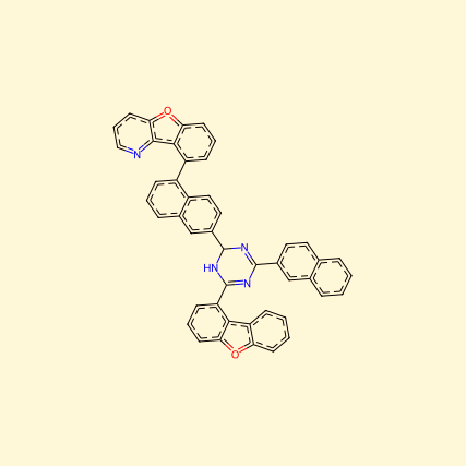 c1ccc2cc(C3=NC(c4ccc5c(-c6cccc7oc8cccnc8c67)cccc5c4)NC(c4cccc5oc6ccccc6c45)=N3)ccc2c1